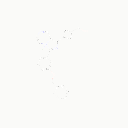 OCC1CC(C2=C3C=NC=C[N+]3(Cl)C(c3cccc(OCc4ccccc4)c3)=N2)C1